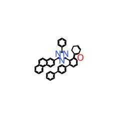 C1=Cc2oc3ccc(-c4ccc(-c5ccccc5)cc4)c(-c4nc(-c5ccccc5)nc(-c5ccc6c(ccc7ccccc76)c5)n4)c3c2CC1